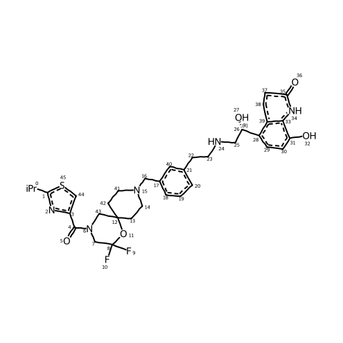 CC(C)c1nc(C(=O)N2CC(F)(F)OC3(CCN(Cc4cccc(CCNC[C@H](O)c5ccc(O)c6[nH]c(=O)ccc56)c4)CC3)C2)cs1